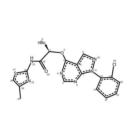 CCCC[C@@H](Oc1ncnc2c1cnn2-c1ccccc1Cl)C(=O)Nc1nc(C)cs1